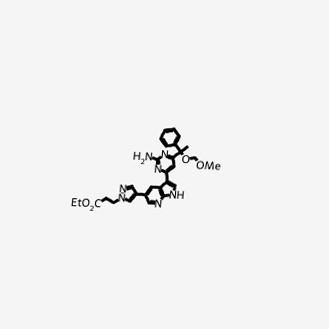 CCOC(=O)CCn1cc(-c2cnc3[nH]cc(-c4cc(C(C)(OCOC)c5ccccc5)nc(N)n4)c3c2)cn1